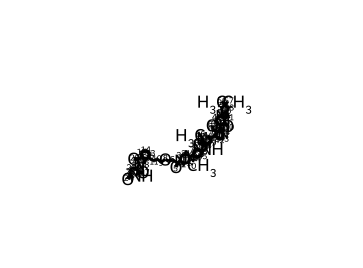 C[C@H]1CN(C(=O)CCOCCCc2cccc3c2CN(C2CCC(=O)NC2=O)C3=O)CCN1c1ccc(Nc2cc(-c3ccnc(N4CCn5c(cc6c5CC(C)(C)C6)C4=O)c3CO)cn(C)c2=O)nc1